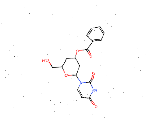 O=C(OC1CC(CO)OC(n2ccc(=O)[nH]c2=O)C1)c1ccccc1